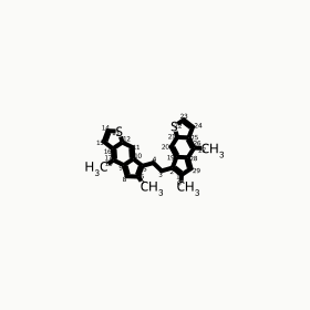 CC1=C(CCC2=C(C)C=C3C2=CC2SC=CC2=C3C)C2=CC3SC=CC3=C(C)C2=C1